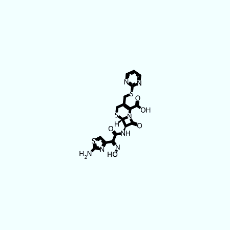 Nc1nc(C(=NO)C(=O)N[C@@H]2C(=O)N3C(C(=O)O)=C(CSc4ncccn4)CS[C@@H]23)cs1